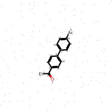 CCC(=O)c1ccc(-c2ccc(C(C)=O)cc2)cc1